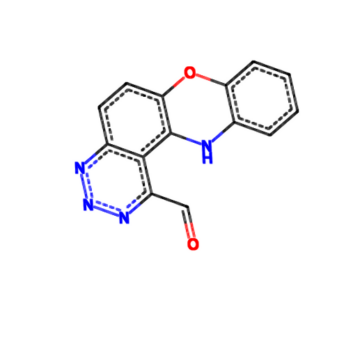 O=Cc1nnnc2ccc3c(c12)Nc1ccccc1O3